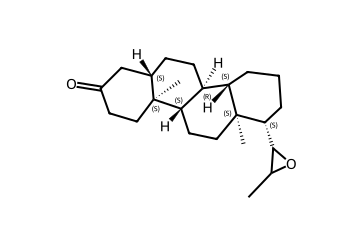 CC1OC1[C@H]1CCC[C@H]2[C@@H]3CC[C@H]4CC(=O)CC[C@]4(C)[C@H]3CC[C@]12C